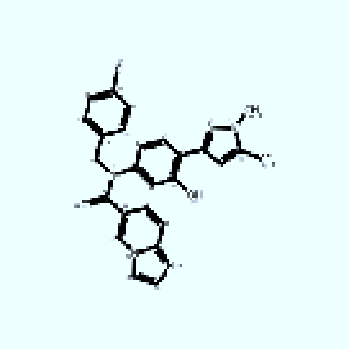 Cn1nc(-c2ccc(N(Cc3ccc(Cl)cc3)C(=O)c3ccc4nccn4c3)cc2O)cc1C(F)(F)F